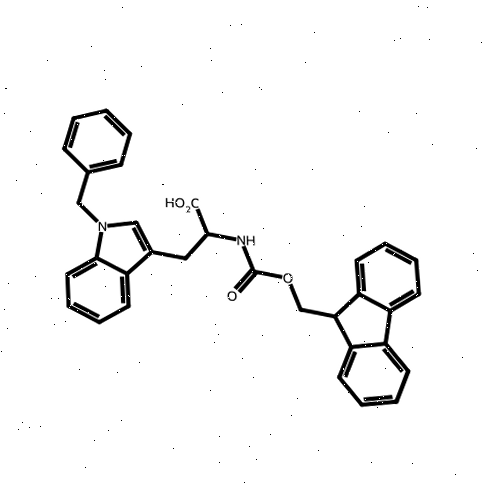 O=C(NC(Cc1cn(Cc2ccccc2)c2ccccc12)C(=O)O)OCC1c2ccccc2-c2ccccc21